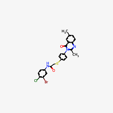 Cc1ccc2nc(C)n(-c3ccc(SCC(=O)Nc4ccc(Cl)c(Br)c4)cc3)c(=O)c2c1